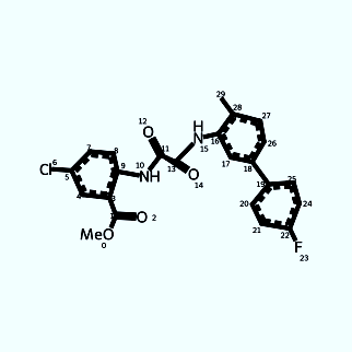 COC(=O)c1cc(Cl)ccc1NC(=O)C(=O)Nc1cc(-c2ccc(F)cc2)ccc1C